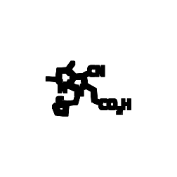 Cc1cc(C)c2c(C#N)c(C=CC(=O)O)n(Cc3cccs3)c2n1